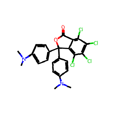 CN(C)c1ccc(C2(c3ccc(N(C)C)cc3)OC(=O)c3c(Cl)c(Cl)c(Cl)c(Cl)c32)cc1